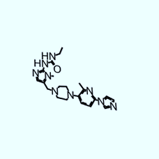 CCNC(=O)Nc1ncc(CN2CCN(c3ccc(-n4ccnc4)nc3C)CC2)n1C